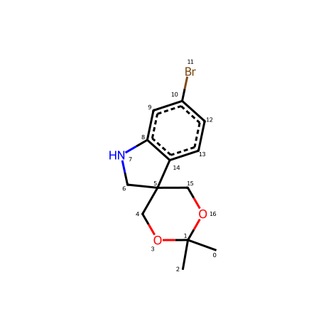 CC1(C)OCC2(CNc3cc(Br)ccc32)CO1